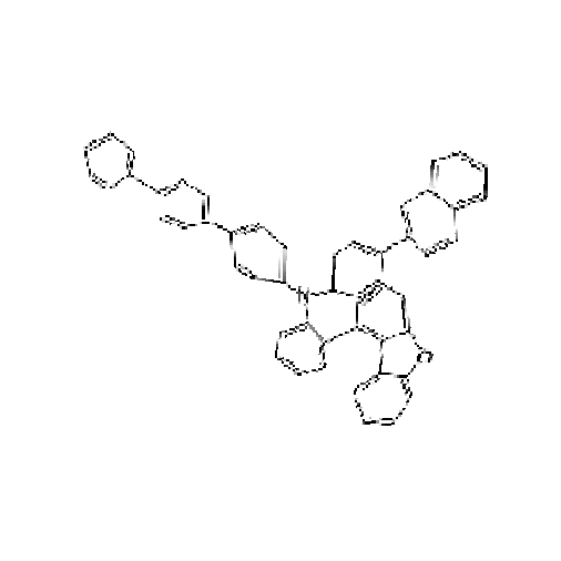 c1ccc(-c2ccc(-c3ccc(N(c4ccc(-c5ccc6ccccc6c5)cc4)c4ccccc4-c4cccc5oc6ccccc6c45)cc3)cc2)cc1